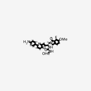 COc1ccc2c(c1F)C(=O)N(C[C@H](NC(=O)NC=O)c1cc3nc(-c4ccc(N)nc4)ccc3o1)C2